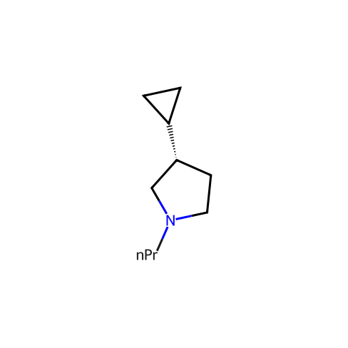 CCCN1CC[C@@H](C2CC2)C1